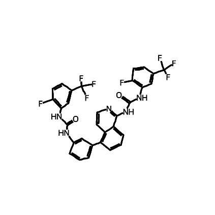 O=C(Nc1cccc(-c2cccc3c(NC(=O)Nc4cc(C(F)(F)F)ccc4F)nccc23)c1)Nc1cc(C(F)(F)F)ccc1F